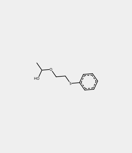 CC(O)OCCSc1ccccc1